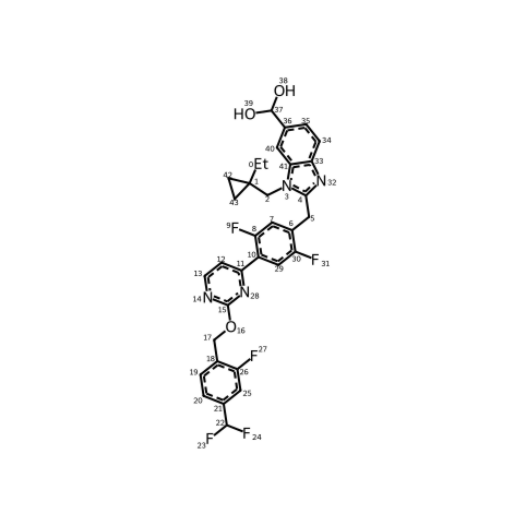 CCC1(Cn2c(Cc3cc(F)c(-c4ccnc(OCc5ccc(C(F)F)cc5F)n4)cc3F)nc3ccc(C(O)O)cc32)CC1